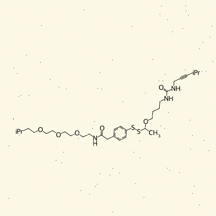 CC(C)C#CCNC(=O)NCCCCOC(C)SSc1ccc(CC(=O)NCCOCCOCCOCCC(C)C)cc1